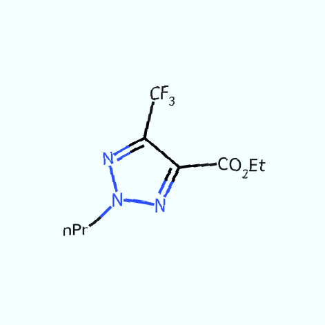 CCCn1nc(C(=O)OCC)c(C(F)(F)F)n1